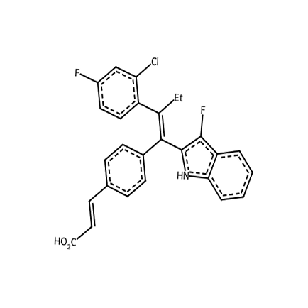 CC/C(=C(/c1ccc(/C=C/C(=O)O)cc1)c1[nH]c2ccccc2c1F)c1ccc(F)cc1Cl